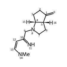 C=C1CC[C@@H]2[C@H]1CCN2CC(=N)/C=C\NC